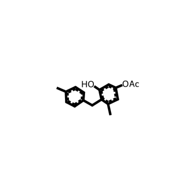 CC(=O)Oc1cc(C)c(Cc2ccc(C)cc2)c(O)c1